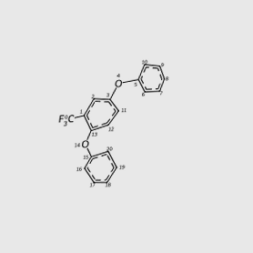 FC(F)(F)c1cc(Oc2ccccc2)ccc1Oc1ccccc1